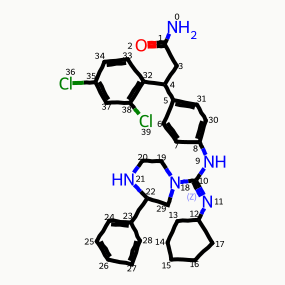 NC(=O)CC(c1ccc(N/C(=N/C2CCCCC2)N2CCNC(c3ccccc3)C2)cc1)c1ccc(Cl)cc1Cl